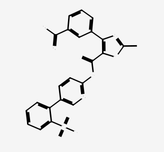 Cc1nc(-c2cccc(C(=N)N)c2)c(C(=O)Nc2ccc(-c3ccccc3S(N)(=O)=O)cn2)s1